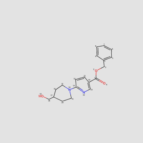 O=C(OCc1ccccc1)c1ccc(N2CCC(CO)CC2)nc1